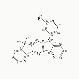 CC1(C)c2ccccc2-c2cc3c4ccccc4n(-c4cccc(Br)c4)c3cc21